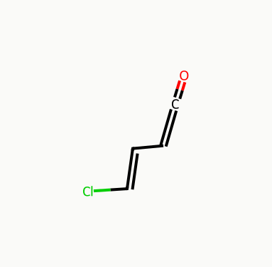 O=C=CC=CCl